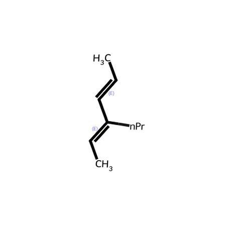 C/C=C/C(=C/C)CCC